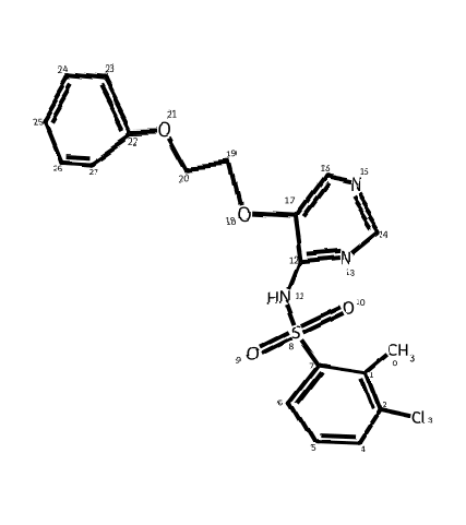 Cc1c(Cl)cccc1S(=O)(=O)Nc1ncncc1OCCOc1ccccc1